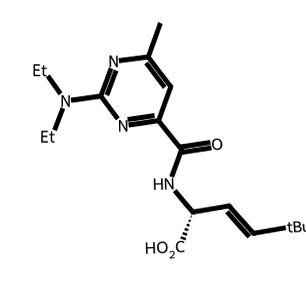 CCN(CC)c1nc(C)cc(C(=O)N[C@H](/C=C/C(C)(C)C)C(=O)O)n1